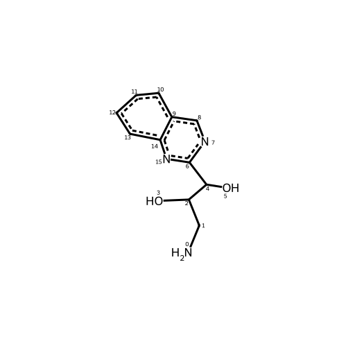 NCC(O)C(O)c1ncc2ccccc2n1